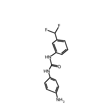 Nc1ccc(NC(=O)Nc2cccc(C(F)F)c2)cc1